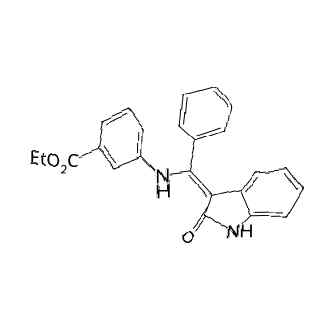 CCOC(=O)c1cccc(N/C(=C2\C(=O)Nc3ccccc32)c2ccccc2)c1